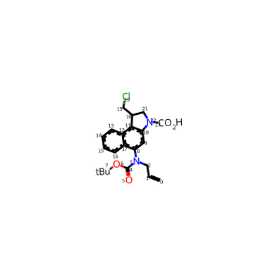 C=CCN(C(=O)OC(C)(C)C)c1cc2c(c3ccccc13)C(CCl)CN2C(=O)O